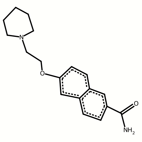 NC(=O)c1ccc2cc(OCCN3CCCCC3)ccc2c1